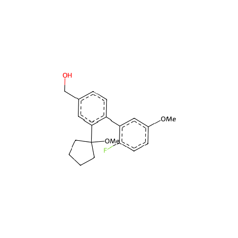 COc1ccc(F)c(-c2ccc(CO)cc2C2(OC)CCCC2)c1